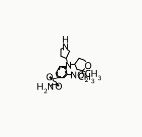 CC1(C)CC(N(c2ccc(S(N)(=O)=O)cc2[N+](=O)[O-])[C@H]2CCNC2)CCO1